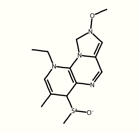 CCN1C=C(C)C([S+](C)[O-])C2=C1N1CN(OC)C=C1C=N2